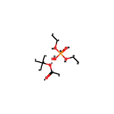 CC(=O)OC(C)(C)C.CCOP(=O)(O)OCC